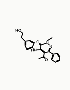 CCn1nc(-c2ccccc2)c(C(C)=O)c(Nc2ccc(CCO)cc2)c1=O